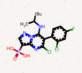 CC(Nc1c(-c2ccc(F)cc2Cl)c(Cl)nc2c(P(=O)(O)O)cnn12)C(C)(C)C